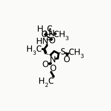 C=CCOC(=O)N1C[C@@H](SC(C)=O)C[C@H]1C=C(C)CNS(=O)(=O)N(C)C